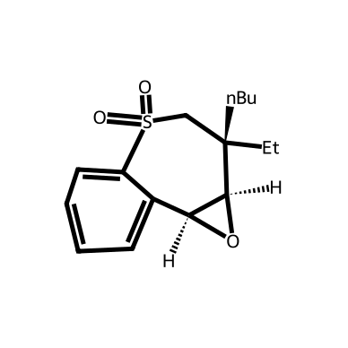 CCCC[C@]1(CC)CS(=O)(=O)c2ccccc2[C@@H]2O[C@@H]21